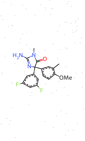 COc1ccc(C2(c3cc(F)cc(F)c3)N=C(N)N(C)C2=O)cc1C